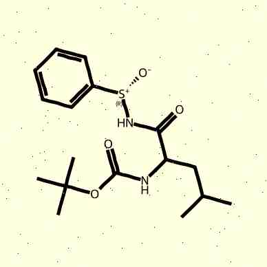 CC(C)CC(NC(=O)OC(C)(C)C)C(=O)N[S@@+]([O-])c1ccccc1